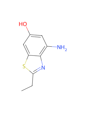 CCc1nc2c(N)cc(O)cc2s1